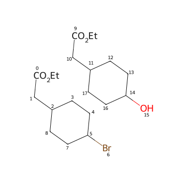 CCOC(=O)CC1CCC(Br)CC1.CCOC(=O)CC1CCC(O)CC1